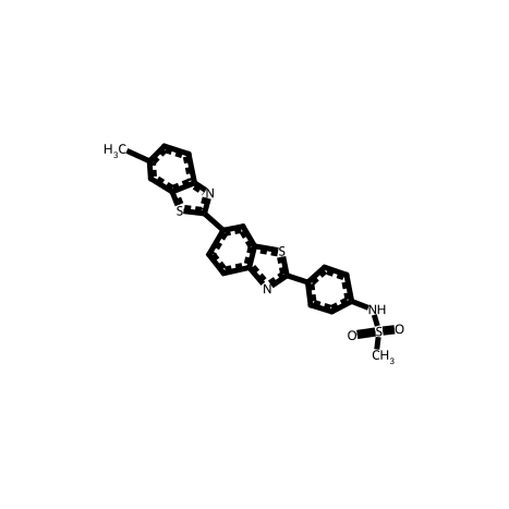 Cc1ccc2nc(-c3ccc4nc(-c5ccc(NS(C)(=O)=O)cc5)sc4c3)sc2c1